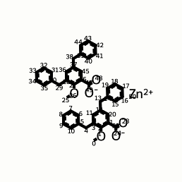 COc1c(Cc2ccccc2)cc(Cc2ccccc2)cc1C(=O)[O-].COc1c(Cc2ccccc2)cc(Cc2ccccc2)cc1C(=O)[O-].[Zn+2]